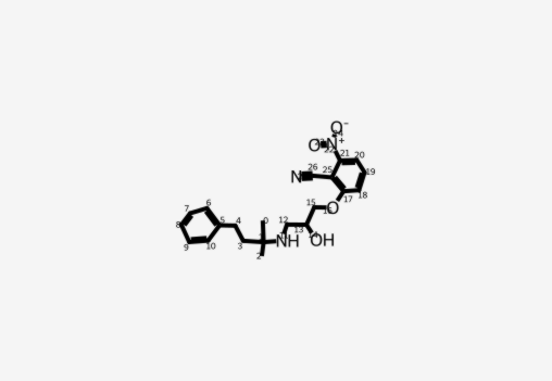 CC(C)(CCc1ccccc1)NCC(O)COc1cccc([N+](=O)[O-])c1C#N